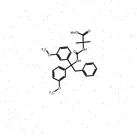 COC(=O)C(C)(C)NC(=O)NC(Cc1ccccc1)(c1cccc(OC(F)(F)F)c1)c1cccc(OC(F)(F)F)c1